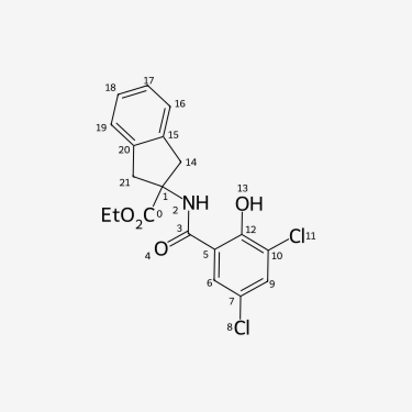 CCOC(=O)C1(NC(=O)c2cc(Cl)cc(Cl)c2O)Cc2ccccc2C1